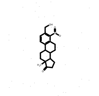 CC12CCC3c4ccc(CO)c([N+](=O)[O-])c4CCC3C1CCC2=O